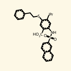 CC(C)c1cc(NS(=O)(=O)c2ccc3ccccc3c2)c(C(=O)O)cc1SCCc1ccccc1